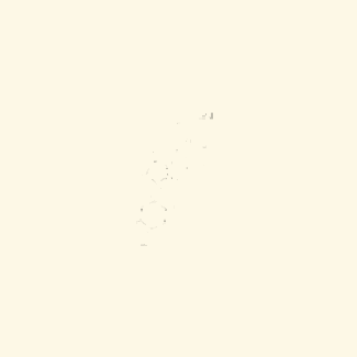 CC(C)(c1nc(-c2ccc(Cl)cc2)cs1)C1CCNCC1